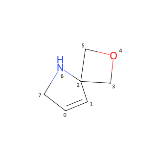 C1=CC2(COC2)NC1